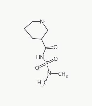 CN(C)S(=O)(=O)NC(=O)C1CCC[N]C1